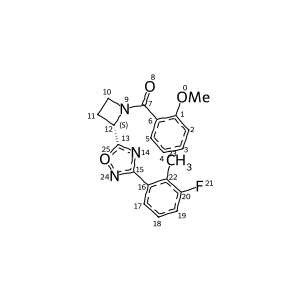 COc1ccccc1C(=O)N1CC[C@H]1c1nc(-c2cccc(F)c2C)no1